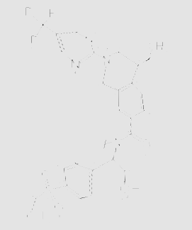 CC[C@@H]1CN(c2ncc(C(F)(F)F)cn2)Cc2cc(C(=O)NC(CO)c3ccc(S(=O)(=O)CC)cc3)ccc21